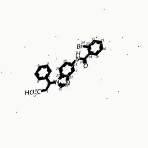 O=C(O)CC(c1ccccc1)n1cnc2cc(NC(=O)c3ccccc3Br)ccc21